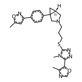 Cc1cc(-c2ccc(C34C[C@@H]3CN(CCCSc3nnc(-c5ocnc5C)n3C)C4)cc2)no1